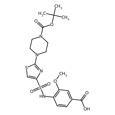 COc1cc(C(=O)O)ccc1NS(=O)(=O)c1csc(N2CCN(C(=O)OC(C)(C)C)CC2)n1